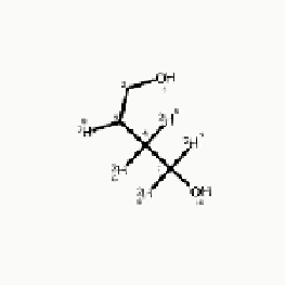 [2H]C(CO)C([2H])([2H])C([2H])([2H])O